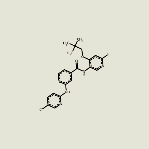 CC(C)(C)COc1cc(F)ncc1NC(=O)c1ccnc(Nc2ccc(Cl)cn2)c1